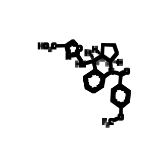 CC[C@@]1(Nc2nc(C(=O)O)co2)c2ccccc2N(C(=O)c2ccc(OC(F)(F)F)cc2)[C@@H]2CCC[C@@H]21